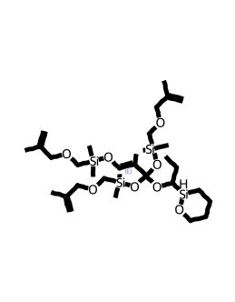 C=C(C)COC[Si](C)(C)O/C=C(\C)C(OC(CC)[SiH]1CCCCO1)(O[Si](C)(C)COCC(=C)C)O[Si](C)(C)COCC(=C)C